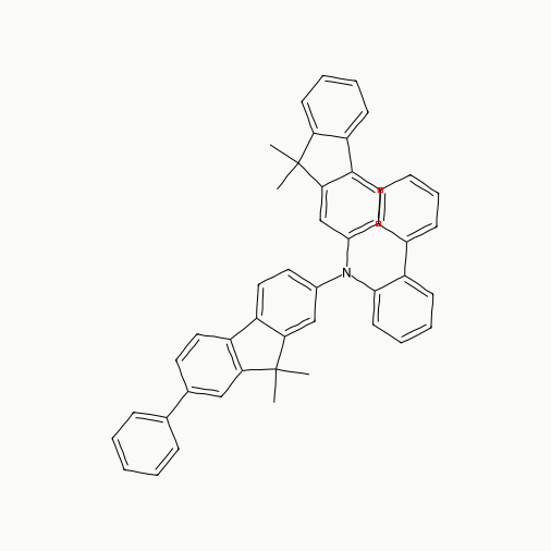 CC1(C)c2ccccc2-c2ccc(N(c3ccc4c(c3)C(C)(C)c3cc(-c5ccccc5)ccc3-4)c3ccccc3-c3ccccc3)cc21